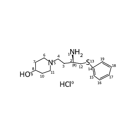 Cl.N[C@H](CCN1CCC(O)CC1)CSc1ccccc1